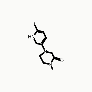 CN1CCN(C2=CC=C(I)NC2)CC1=O